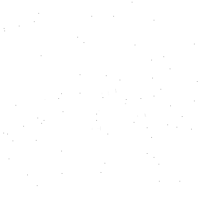 C#CC(C)(C)CC(C)(C)OCC(=C)Br